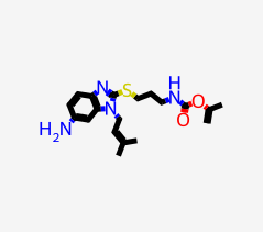 C=C(C)OC(=O)NCCCSc1nc2ccc(N)cc2n1CC=C(C)C